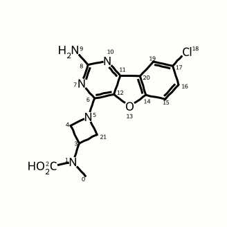 CN(C(=O)O)C1CN(c2nc(N)nc3c2oc2ccc(Cl)cc23)C1